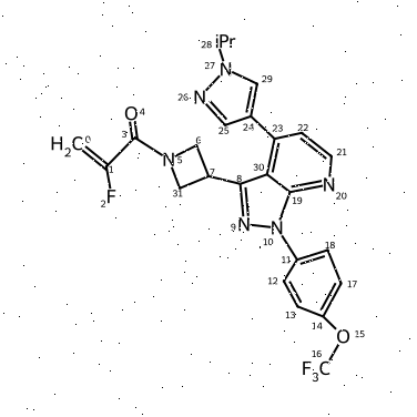 C=C(F)C(=O)N1CC(c2nn(-c3ccc(OC(F)(F)F)cc3)c3nccc(-c4cnn(C(C)C)c4)c23)C1